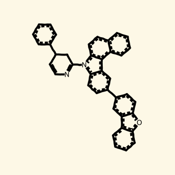 C1=CC(c2ccccc2)CC(n2c3ccc(-c4ccc5oc6ccccc6c5c4)cc3c3c4ccccc4ccc32)=N1